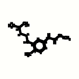 COBNc1ccc(C)c(OCCN(C)C)c1